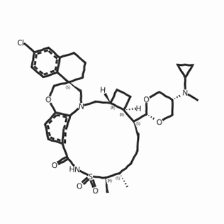 C[C@@H]1[C@@H](C)CCC[C@H]([C@H]2OC[C@@H](N(C)C3CC3)CO2)[C@@H]2CC[C@H]2CN2C[C@@]3(CCCc4cc(Cl)ccc43)COc3ccc(cc32)C(=O)NS1(=O)=O